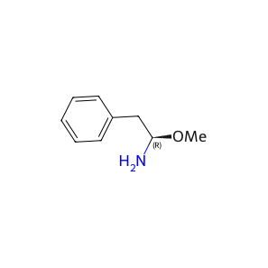 CO[C@@H](N)Cc1ccccc1